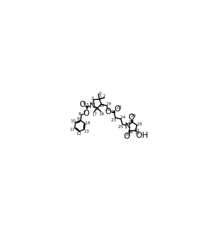 CC1(C)CN(C(=O)OCc2ccccc2)C(C)(C)C1COC(=O)CCCN1C(=O)CC(O)C1=O